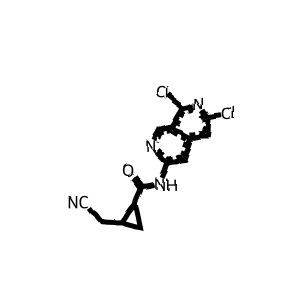 N#CCC1CC1C(=O)Nc1cc2cc(Cl)nc(Cl)c2cn1